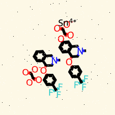 CN1Cc2ccccc2C(Oc2ccc(C(F)(F)F)cc2)C1.CN1Cc2ccccc2C(Oc2ccc(C(F)(F)F)cc2)C1.O=C([O-])C(=O)[O-].O=C([O-])C(=O)[O-].[Sn+4]